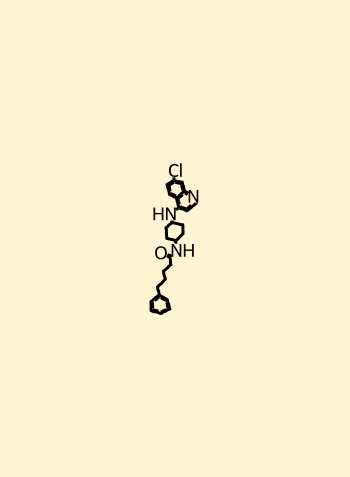 O=C(CCCCc1ccccc1)NC1CCC(Nc2ccnc3cc(Cl)ccc23)CC1